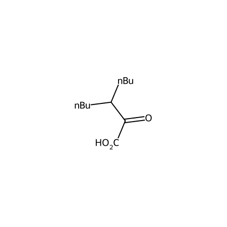 CCCCC(CCCC)C(=O)C(=O)O